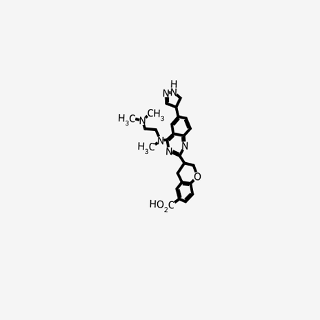 CN(C)CCN(C)c1nc(C2COc3ccc(C(=O)O)cc3C2)nc2ccc(C3C=NNC3)cc12